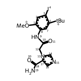 COc1cc(I)c(C(C)(C)C)cc1NC(=O)Cn1cncc1C(N)=O